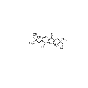 CC(C)(CO)Cc1ccc2c(Cl)c(CC(C)(C)CO)ccc2c1Cl